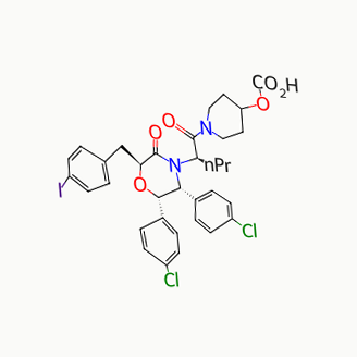 CCC[C@H](C(=O)N1CCC(OC(=O)O)CC1)N1C(=O)[C@H](Cc2ccc(I)cc2)O[C@@H](c2ccc(Cl)cc2)[C@H]1c1ccc(Cl)cc1